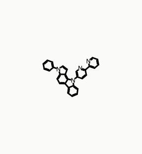 c1ccc(-n2ccc3c2ccc2c4ccccc4n(-c4ccc(-c5ccccn5)nc4)c23)cc1